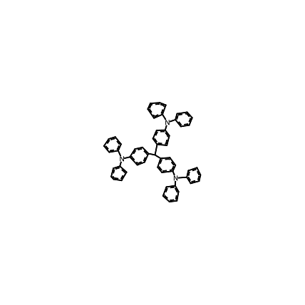 c1ccc(N(c2ccccc2)c2ccc(C(c3ccc(N(c4ccccc4)c4ccccc4)cc3)c3ccc(N(c4ccccc4)c4ccccc4)cc3)cc2)cc1